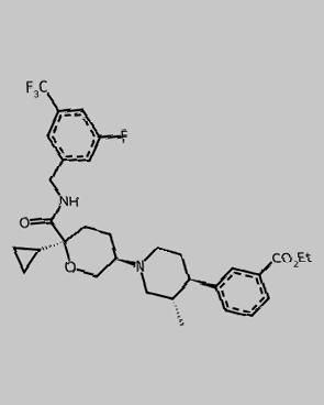 CCOC(=O)c1cccc([C@@H]2CCN([C@@H]3CC[C@@](C(=O)NCc4cc(F)cc(C(F)(F)F)c4)(C4CC4)OC3)C[C@H]2C)c1